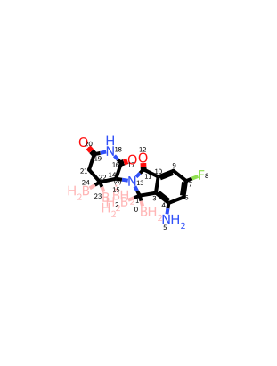 BC1(B)c2c(N)cc(F)cc2C(=O)N1[C@]1(B)C(=O)NC(=O)CC1(B)B